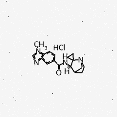 Cl.Cn1cnc2cc(C(=O)N[C@@H]3C4CCN(CC4)C34CC4)ccc21